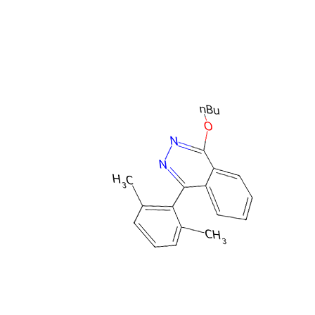 CCCCOc1nnc(-c2c(C)cccc2C)c2ccccc12